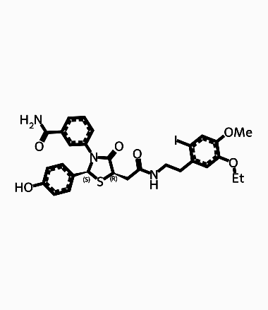 CCOc1cc(CCNC(=O)C[C@H]2S[C@@H](c3ccc(O)cc3)N(c3cccc(C(N)=O)c3)C2=O)c(I)cc1OC